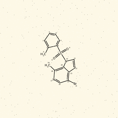 Cc1ccccc1S(=O)(=O)n1ccc2c(Br)cnc(C)c21